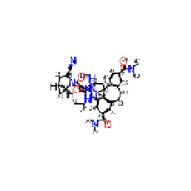 CC(C)n1nc(C2(C[C@@H](C)NCC(=O)N3C(C#N)C[C@@H]4C[C@@H]43)c3ccc(C(=O)N(C)C)cc3CCc3cc(C(=O)N(C)C)ccc32)[nH]c1=O